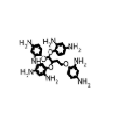 Nc1ccc(OCCC(Oc2ccc(N)cc2N)C(Oc2ccc(N)cc2N)Oc2ccc(N)cc2N)c(N)c1